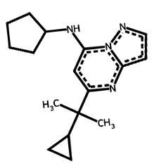 CC(C)(c1cc(NC2CCCC2)n2nccc2n1)C1CC1